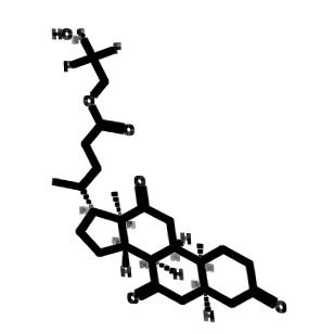 CC(CCC(=O)OCC(F)(F)S(=O)(=O)O)[C@H]1CC[C@H]2[C@@H]3C(=O)C[C@@H]4CC(=O)CC[C@]4(C)[C@H]3CC(=O)[C@]12C